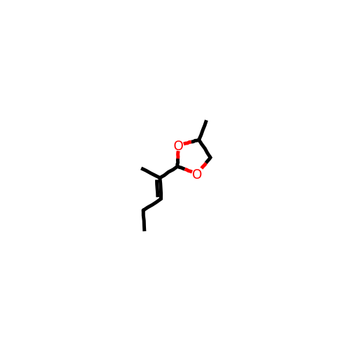 CC/C=C(\C)C1OCC(C)O1